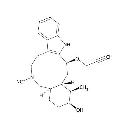 C#CCO[C@H]1C[C@H]2[C@@H](CC[C@H](O)[C@@H]2C)CN(C#N)CCc2c1[nH]c1ccccc21